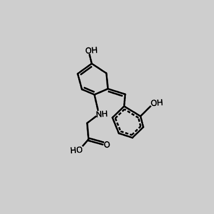 O=C(O)CNC1=CC=C(O)CC1=Cc1ccccc1O